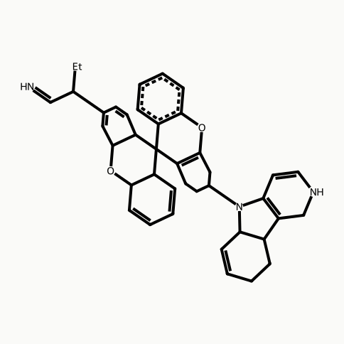 CCC(C=N)C1=CC2OC3C=CC=CC3C3(C4=C(CC(N5C6=C(CNC=C6)C6CCC=CC65)CC4)Oc4ccccc43)C2C=C1